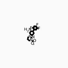 COC(=O)N1CCCn2c1nc1c2CC(N)C(c2cc(F)c(F)cc2F)C1